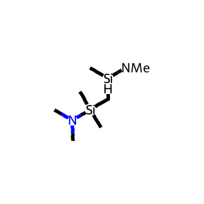 CN[SiH](C)C[Si](C)(C)N(C)C